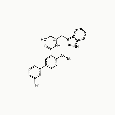 CCOc1ccc(-c2cccc(C(C)C)c2)cc1C(=O)N[C@@H](CO)Cc1c[nH]c2ccccc12